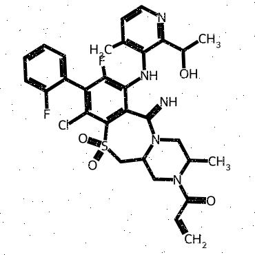 C=CC(=O)N1CC2CS(=O)(=O)c3c(Cl)c(-c4ccccc4F)c(F)c(Nc4c(C)ccnc4C(C)O)c3C(=N)N2CC1C